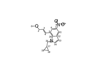 COC/C=C/c1cc([N+](=O)[O-])cc2ccn(CC3CC3)c12